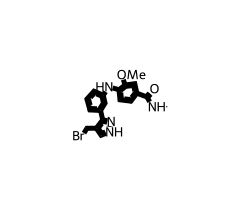 COc1cc(C([NH])=O)ccc1Nc1cccc(-c2n[nH]cc2CBr)c1